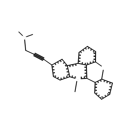 CN(C)CC#Cc1ccc2c(c1)c1cccc3c1c([n+]2C)-c1ccccc1O3